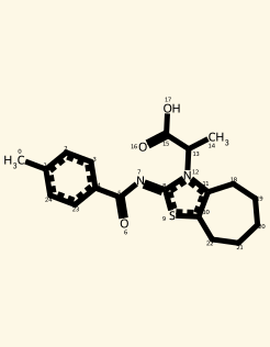 Cc1ccc(C(=O)/N=c2\sc3c(n2C(C)C(=O)O)CCCCC3)cc1